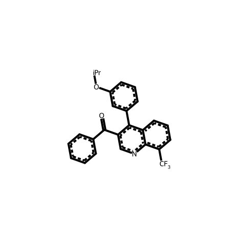 CC(C)Oc1cccc(-c2c(C(=O)c3ccccc3)cnc3c(C(F)(F)F)cccc23)c1